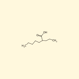 CCCCC[C](CCC)C(=O)O